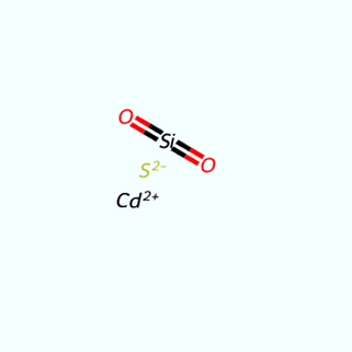 O=[Si]=O.[Cd+2].[S-2]